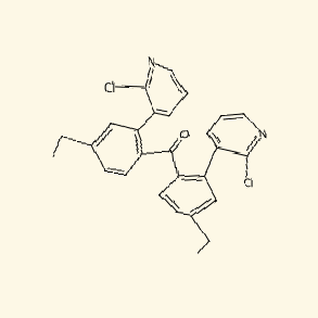 CCc1ccc(C(=O)c2ccc(CC)cc2-c2cccnc2Cl)c(-c2cccnc2Cl)c1